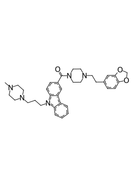 CN1CCN(CCCn2c3ccccc3c3cc(C(=O)N4CCN(CCc5ccc6c(c5)OCO6)CC4)ccc32)CC1